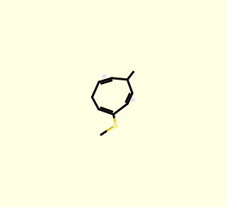 CSC1=CC/C=C\C(C)/C=C\1